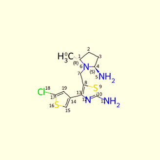 C[C@@H]1CC[C@@H](N)N1Cc1sc(N)nc1-c1csc(Cl)c1